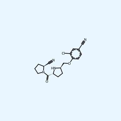 N#Cc1ccc(OC[C@H]2CC[C@H](C(=O)N3CCC[C@H]3C#N)N2)c(Cl)c1